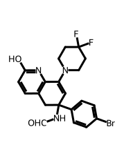 O=CNC1(c2ccc(Br)cc2)C=C(N2CCC(F)(F)CC2)c2nc(O)ccc2C1